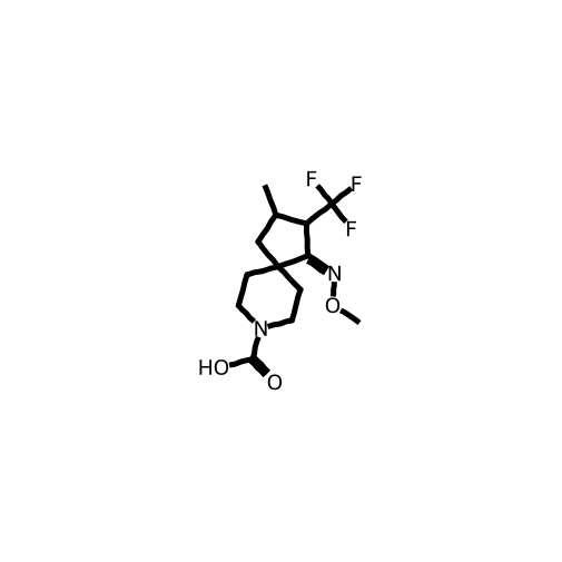 CO/N=C1/C(C(F)(F)F)C(C)CC12CCN(C(=O)O)CC2